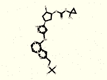 CC1(NC(=O)O[C@H]2C[C@@H](c3cc(Nc4nccn5nc(COC(F)(F)F)cc45)n[nH]3)C[C@H]2F)CC1